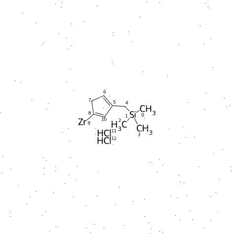 C[Si](C)(C)CC1=CC[C]([Zr])=C1.Cl.Cl